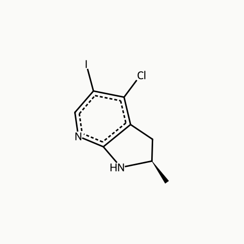 C[C@@H]1Cc2c(ncc(I)c2Cl)N1